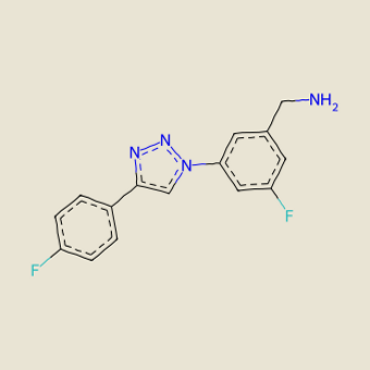 NCc1cc(F)cc(-n2cc(-c3ccc(F)cc3)nn2)c1